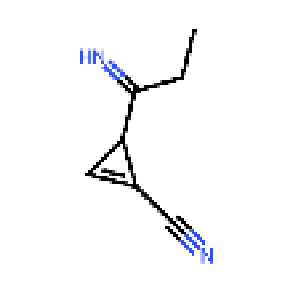 CCC(=N)C1C=C1C#N